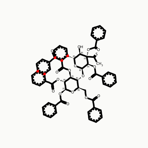 CC(=S)[C@]1(OC(=O)c2ccccc2)[C@H](O)[C@@H](COC(=O)c2ccccc2)O[C@H](O[C@H]2[C@H](OC(=O)c3ccccc3)[C@@H](OC(=O)c3ccccc3)[C@H](OC(=O)c3ccccc3)O[C@@H]2COC(=O)c2ccccc2)[C@@H]1OC(=O)c1ccccc1